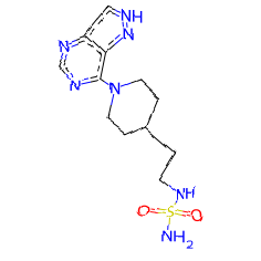 NS(=O)(=O)NCCC1CCN(c2ncnc3c[nH]nc23)CC1